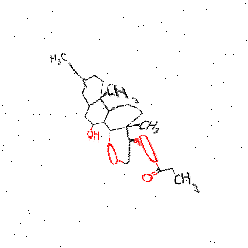 CCC(=O)O[C@H]1COC2C3C(CC[C@@]21C)[C@@]1(C)CC[C@H](C)CC1C[C@@H]3O